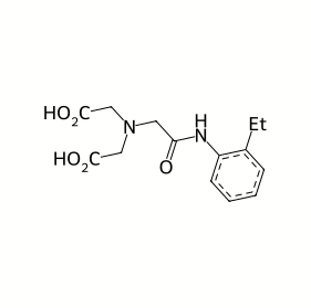 CCc1ccccc1NC(=O)CN(CC(=O)O)CC(=O)O